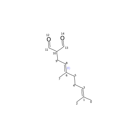 CC(C)=CCC/C(C)=C/CC(C=O)C=O